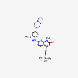 COc1cc(N2CCN(C)CC2)ccc1Nc1ncc2c(C#C[Si](C(C)C)(C(C)C)C(C)C)cc(=O)n(C)c2n1